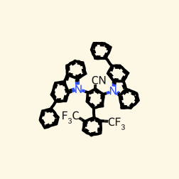 N#Cc1c(-n2c3ccccc3c3ccc(-c4ccccc4)cc32)cc(-c2c(C(F)(F)F)cccc2C(F)(F)F)cc1-n1c2ccccc2c2ccc(-c3ccccc3)cc21